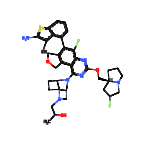 CC(O)CN1CC2N(c3nc(OC[C@@]45CCCN4CC(F)C5)nc4c(F)c(-c5cccc6sc(N)c(C#N)c56)c5c(c34)COC5)C3CCC321